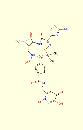 CC(C)(ON=C(C(=O)N[C@@H]1C(=O)N(S(=O)(=O)O)[C@H]1CNC(=O)c1cccc(C(=O)NCc2cc(=O)c(O)cn2O)c1)c1csc(N)n1)C(=O)O